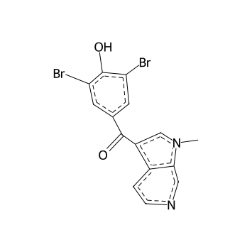 Cn1cc(C(=O)c2cc(Br)c(O)c(Br)c2)c2ccncc21